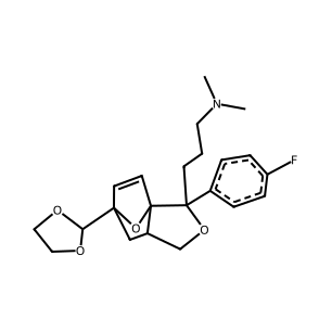 CN(C)CCCC1(c2ccc(F)cc2)OCC2CC3(C4OCCO4)C=CC21O3